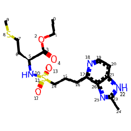 CCOC(=O)[C@H](CCSC)NS(=O)(=O)CCCc1nccc2[nH]c(C)nc12